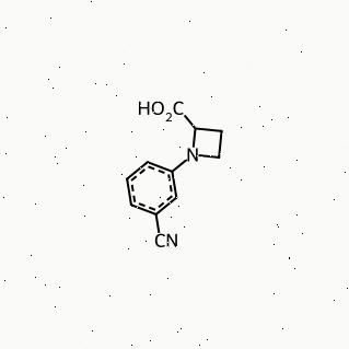 N#Cc1cccc(N2CCC2C(=O)O)c1